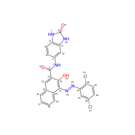 O=C(Nc1ccc2[nH]c(=O)[nH]c2c1)c1cc2ccccc2c(N=Nc2cc(Cl)ccc2Cl)c1O